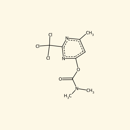 Cc1cc(OC(=O)N(C)C)nc(C(Cl)(Cl)Cl)n1